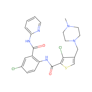 CN1CCN(Cc2csc(C(=O)Nc3ccc(Cl)cc3C(=O)Nc3ccccn3)c2Cl)CC1